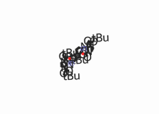 CC(C)(C)OC(=O)N1CCN(C(=O)OC(C)(C)C)C1/N=C1/C=CC2=C3C=C/C(=N\C4N(C(=O)OC(C)(C)C)CCN4C(=O)OC(C)(C)C)C=C3CC2=C1